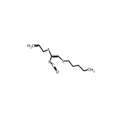 C=CCSC(=CSCCCCC)N=C=O